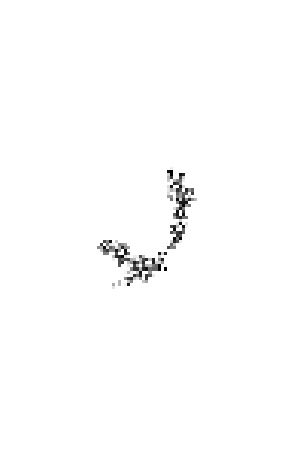 CC(C)(C)C(NC(=O)COCCCCOc1ccc(-c2ccc(N3C(=S)N(c4cc(Cl)c(C#N)cc4F)C(=O)C3(C)C)cc2)cc1)C(=O)N1C[C@H](O)C[C@H]1C(=O)NCc1ccc(-c2cnco2)cc1